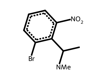 CNC(C)c1c(Br)cccc1[N+](=O)[O-]